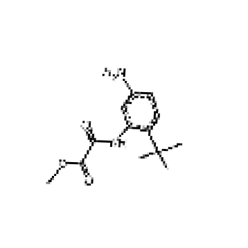 COC(=O)C(=O)Nc1cc(N)ccc1C(C)(C)C